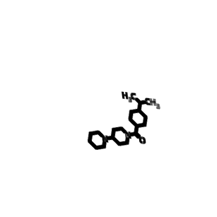 CC(C)C1CCC(C(=O)N2CCC(N3CCCCC3)CC2)CC1